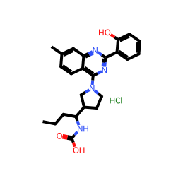 CCCC(NC(=O)O)C1CCN(c2nc(-c3ccccc3O)nc3cc(C)ccc23)C1.Cl